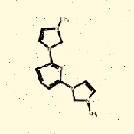 CN1C=CN(c2cccc(N3C=CN(C)C3)n2)C1